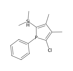 Cc1c(C)c([SiH](C)C)p(-c2ccccc2)c1Cl